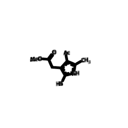 COC(=O)Cc1c(S)[nH]c(C)c1C(C)=O